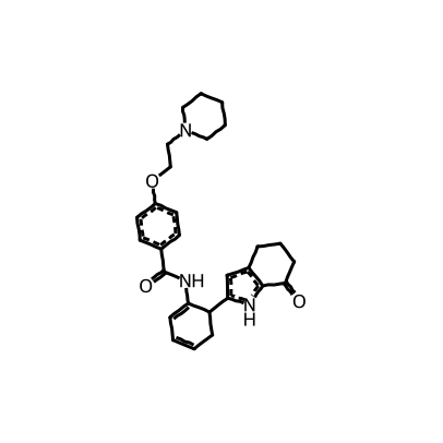 O=C(NC1=CC=CCC1c1cc2c([nH]1)C(=O)CCC2)c1ccc(OCCN2CCCCC2)cc1